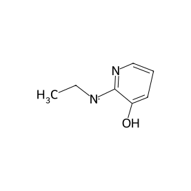 CC[N]c1ncccc1O